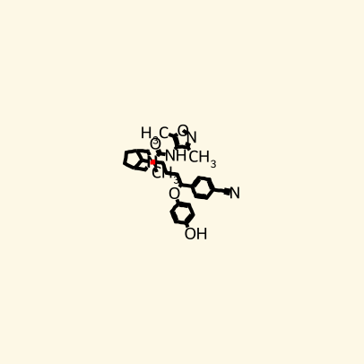 Cc1noc(C)c1NC(=O)N(C)C1C2CCC1CN(CCCC(Oc1ccc(O)cc1)c1ccc(C#N)cc1)C2